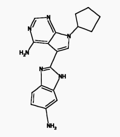 Nc1ccc2nc(-c3cn(C4CCCC4)c4ncnc(N)c34)[nH]c2c1